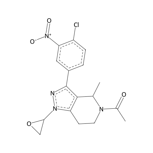 CC(=O)N1CCc2c(c(-c3ccc(Cl)c([N+](=O)[O-])c3)nn2C2CO2)C1C